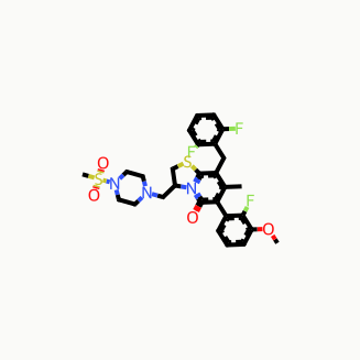 COc1cccc(-c2c(C)c(Cc3c(F)cccc3F)c3n(c2=O)C(CN2CCN(S(C)(=O)=O)CC2)CS3)c1F